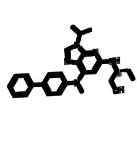 CC[C@H](CO)Nc1cc(N(C)c2ccc(-c3ccccc3)cc2)c2ncn(C(C)C)c2n1